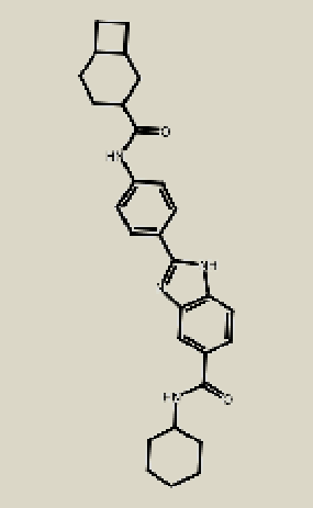 O=C(NC1CCCCC1)c1ccc2[nH]c(-c3ccc(NC(=O)C4CCC5CCC5C4)cc3)nc2c1